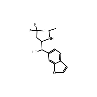 CCNC(CC(F)(F)F)C(O)c1ccc2ccoc2c1